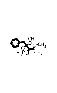 COC(C)C(=O)C(Cc1ccccc1)(OC)OC